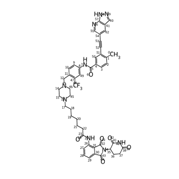 Cc1ccc(C(=O)Nc2ccc(CN3CCN(CCCCCCC(=O)Nc4cccc5c4C(=O)N(C4CCC(=O)NC4=O)C5=O)CC3)c(C(F)(F)F)c2)cc1C#Cc1cnc2[nH]ncc2c1